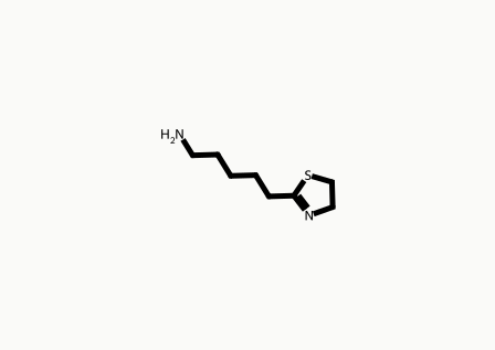 NCCCCCC1=NCCS1